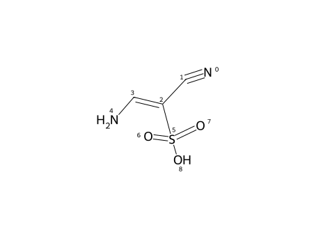 N#CC(=CN)S(=O)(=O)O